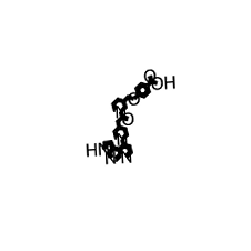 O=C(O)c1ccc(OCC2CCCN(C(=O)CC3CCN(c4ccnc5cnc6[nH]ccc6c45)CC3)C2)cc1